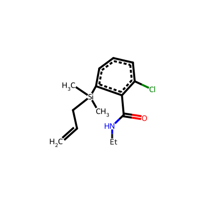 C=CC[Si](C)(C)c1cccc(Cl)c1C(=O)NCC